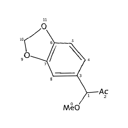 COC(C(C)=O)c1ccc2c(c1)OCO2